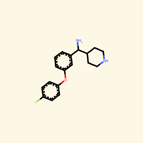 NC(c1cccc(Oc2ccc(F)cc2)c1)C1CCNCC1